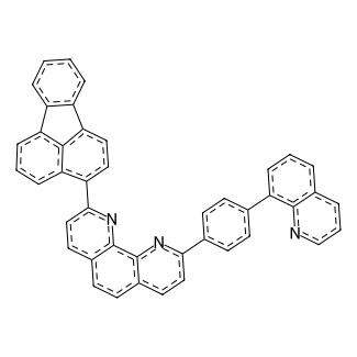 c1ccc2c(c1)-c1cccc3c(-c4ccc5ccc6ccc(-c7ccc(-c8cccc9cccnc89)cc7)nc6c5n4)ccc-2c13